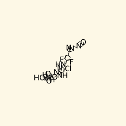 O[C@@H]1CO[C@H]2[C@@H]1OC[C@H]2Oc1nc2nc(NCc3c(F)cc(-c4cnn(CCN5CCOCC5)c4)cc3F)c(Cl)cc2[nH]1